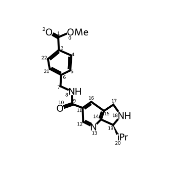 COC(=O)c1ccc(CNC(=O)c2cnc3c(c2)CN[C@H]3C(C)C)cc1